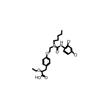 CCCCCN(CCOc1ccc(CC(OCC)C(=O)O)cc1)C(=O)Nc1ccc(Cl)cc1Cl